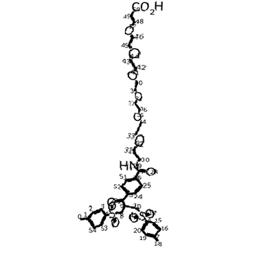 Cc1ccc(S(=O)(=O)CC(CS(=O)(=O)c2ccc(C)cc2)C(=O)c2ccc(C(=O)NCCOCCOCCOCCOCCOCCOCCC(=O)O)cc2)cc1